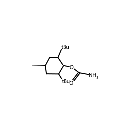 CC1CC(C(C)(C)C)C(OC(N)=O)C(C(C)(C)C)C1